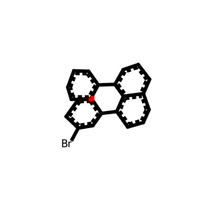 Brc1cccc(-c2cccc3cccc(-c4ccccc4)c23)c1